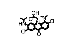 CC(C)Nc1cc2c(cc1Cl)c(=O)c1ccc(Cl)c(N(C)C)c1n2CC(=O)O